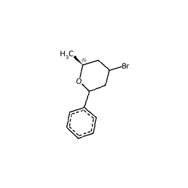 C[C@H]1CC(Br)CC(c2ccccc2)O1